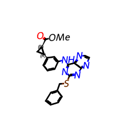 COC(=O)[C@@H]1C[C@H]1c1cccc(Nc2nc(SCc3ccccc3)nc3nccnc23)c1